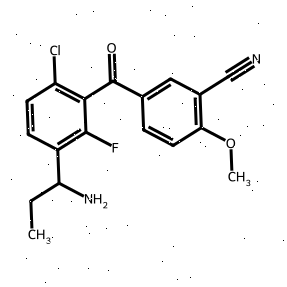 CCC(N)c1ccc(Cl)c(C(=O)c2ccc(OC)c(C#N)c2)c1F